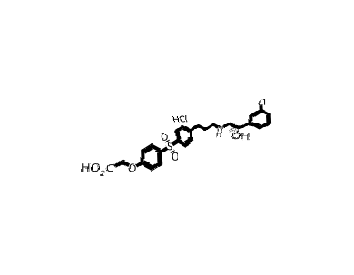 Cl.O=C(O)COc1ccc(S(=O)(=O)c2ccc(CCCNC[C@@H](O)c3cccc(Cl)c3)cc2)cc1